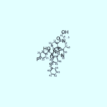 C[C@@H]1CN([C@@H](C)CO)C(=O)c2cccc(NC(=O)C(O)c3ccc(F)cc3)c2O[C@@H]1CN(C)Cc1ccc(Sc2ccccc2)cc1